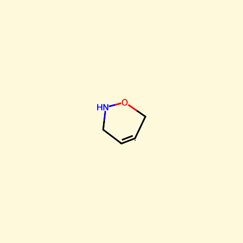 [C]1=CCNOC1